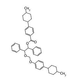 CC1CCC(c2ccc(OCOC(c3ccccc3)C(OC(=O)c3ccc(C4CCC(C)CC4)cc3)c3ccccc3)cc2)CC1